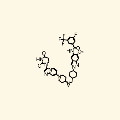 COc1cc2nn([C@H]3CC[C@H](CN(C)C4CCN(c5ccn6c(N7CCC(=O)NC7=O)cnc6c5)CC4)CC3)cc2cc1NC(=O)c1cc(F)cc(C(F)(F)F)c1